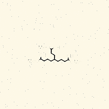 COC(C)CCCC(CCCC(C)OC)CCC(C)OC